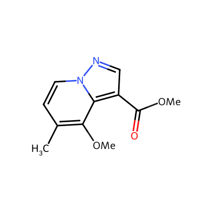 COC(=O)c1cnn2ccc(C)c(OC)c12